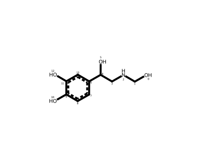 OCNCC(O)c1ccc(O)c(O)c1